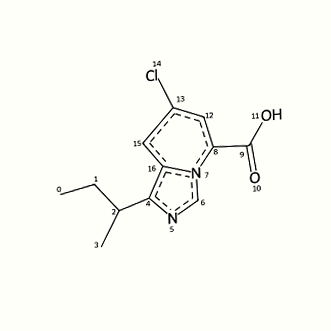 CCC(C)c1ncn2c(C(=O)O)cc(Cl)cc12